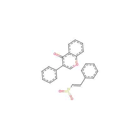 O=[SH](=O)C=Cc1ccccc1.O=c1c(-c2ccccc2)coc2ccccc12